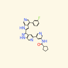 O=C(Nc1cncc(-c2cc3c(-c4cc5c(-c6cccc(F)c6)cncc5[nH]4)n[nH]c3cn2)c1)C1CCCC1